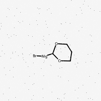 [Br][Mg][CH]1OCCCO1